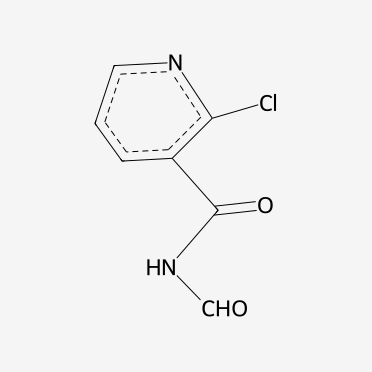 O=CNC(=O)c1cccnc1Cl